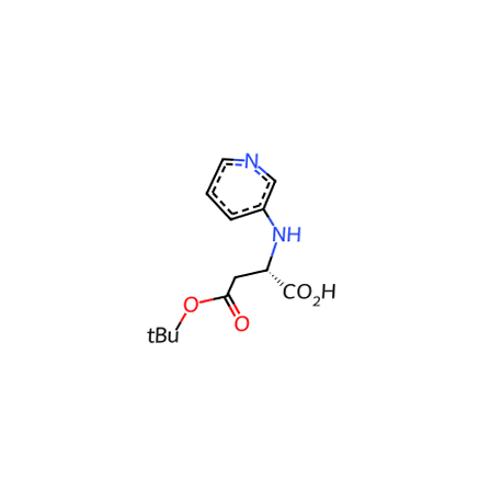 CC(C)(C)OC(=O)C[C@H](Nc1cccnc1)C(=O)O